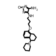 Nc1n[s+]([O-])nc1NCCCOc1cccc2c1CCCC2N1CCCCC1